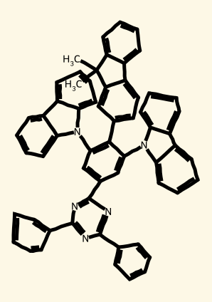 CC1(C)c2ccccc2-c2ccc(-c3c(-n4c5ccccc5c5ccccc54)cc(-c4nc(-c5ccccc5)nc(-c5ccccc5)n4)cc3-n3c4ccccc4c4ccccc43)cc21